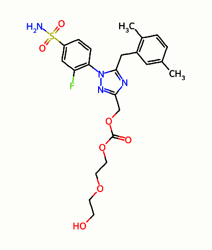 Cc1ccc(C)c(Cc2nc(COC(=O)OCCOCCO)nn2-c2ccc(S(N)(=O)=O)cc2F)c1